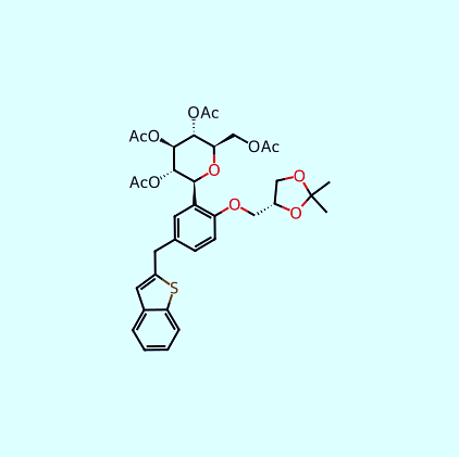 CC(=O)OC[C@H]1O[C@@H](c2cc(Cc3cc4ccccc4s3)ccc2OC[C@@H]2COC(C)(C)O2)[C@H](OC(C)=O)[C@@H](OC(C)=O)[C@@H]1OC(C)=O